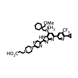 COCC1(CN(C)c2cc(-c3cnc(C4CC4)c(C(F)(F)F)c3)nc3nc(-c4cnc(N5CCN(CCC(=O)O)CC5)cn4)[nH]c23)CCCCC1